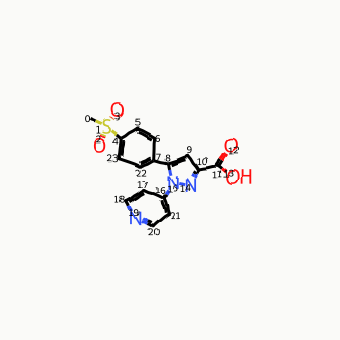 CS(=O)(=O)c1ccc(-c2cc(C(=O)O)nn2-c2ccncc2)cc1